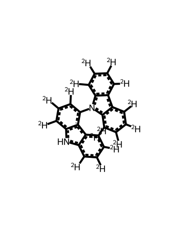 [2H]c1c([2H])c([2H])c2c([nH]c3c([2H])c([2H])c([2H])c(-n4c5c([2H])c([2H])c([2H])c([2H])c5c5c([2H])c([2H])c([2H])c([2H])c54)c32)c1[2H]